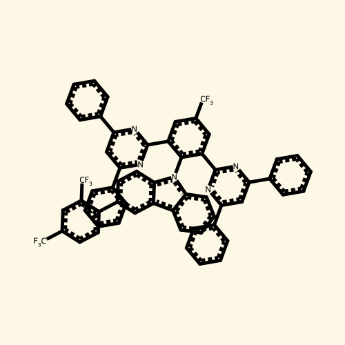 FC(F)(F)c1cc(-c2nc(-c3ccccc3)cc(-c3ccccc3)n2)c(-n2c3ccccc3c3cc(-c4ccc(C(F)(F)F)cc4C(F)(F)F)ccc32)c(-c2nc(-c3ccccc3)cc(-c3ccccc3)n2)c1